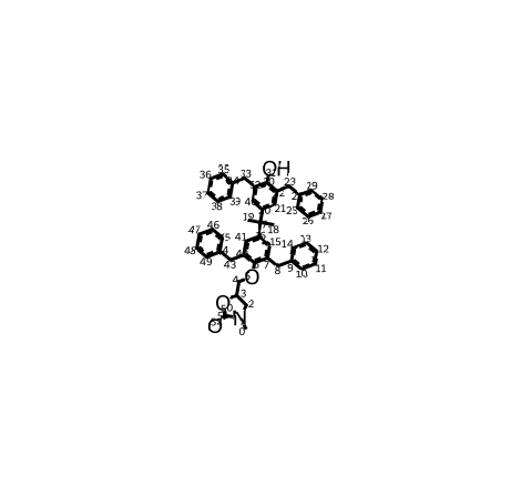 CN1CC(COc2c(Cc3ccccc3)cc(C(C)(C)c3cc(Cc4ccccc4)c(O)c(Cc4ccccc4)c3)cc2Cc2ccccc2)OC1=O